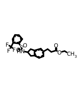 CCOC(=O)CCc1ccc2c(c1)CC(NS(=O)(=O)c1ccccc1C(F)(F)F)C2